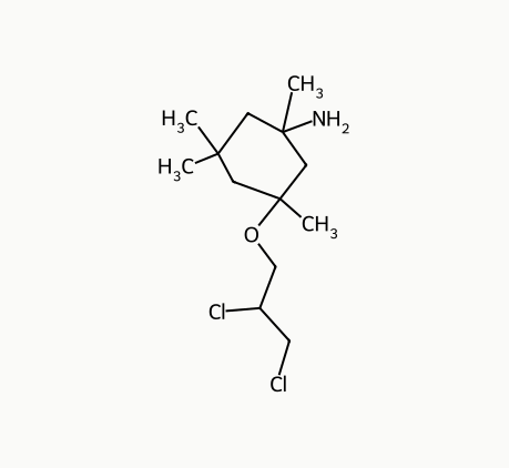 CC1(C)CC(C)(N)CC(C)(OCC(Cl)CCl)C1